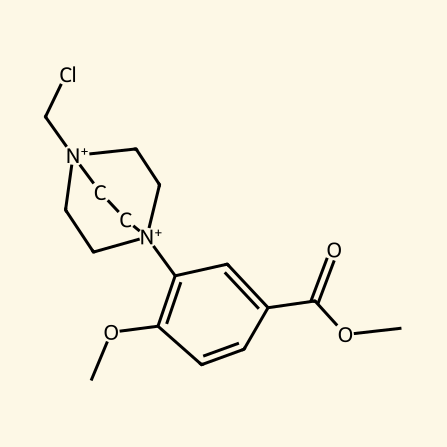 COC(=O)c1ccc(OC)c([N+]23CC[N+](CCl)(CC2)CC3)c1